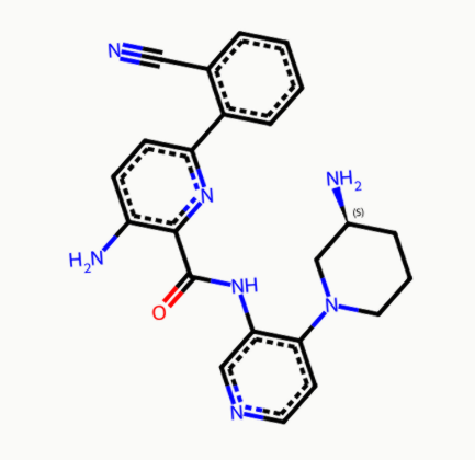 N#Cc1ccccc1-c1ccc(N)c(C(=O)Nc2cnccc2N2CCC[C@H](N)C2)n1